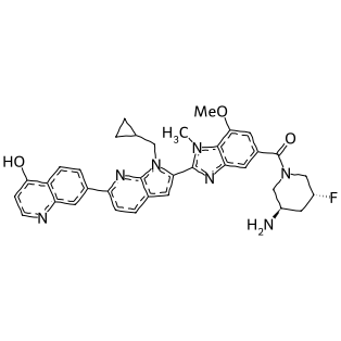 COc1cc(C(=O)N2C[C@H](N)C[C@@H](F)C2)cc2nc(-c3cc4ccc(-c5ccc6c(O)ccnc6c5)nc4n3CC3CC3)n(C)c12